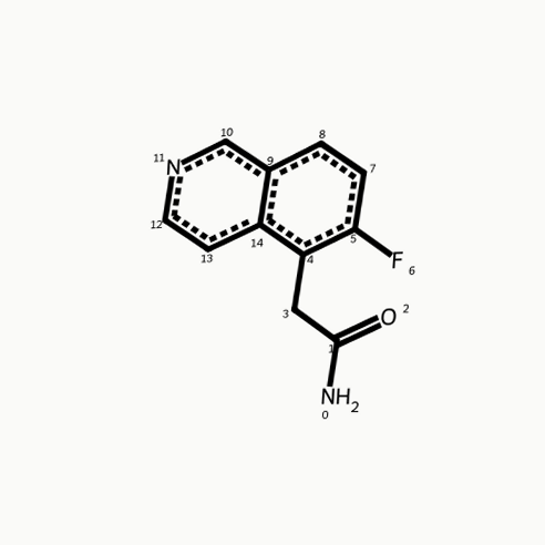 NC(=O)Cc1c(F)ccc2cnccc12